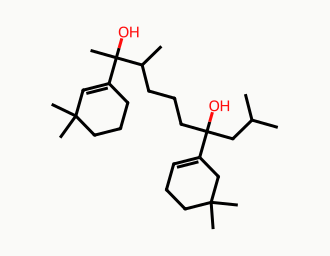 CC(C)CC(O)(CCCC(C)C(C)(O)C1=CC(C)(C)CCC1)C1=CCCC(C)(C)C1